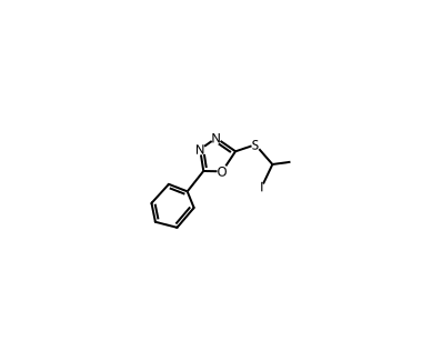 CC(I)Sc1nnc(-c2ccccc2)o1